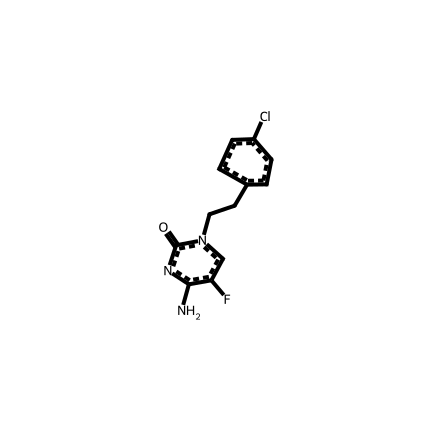 Nc1nc(=O)n(CCc2ccc(Cl)cc2)cc1F